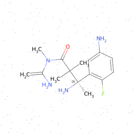 C=C(N)N(C)C(=O)C(C)(C)[C@](C)(N)c1cc(N)ccc1F